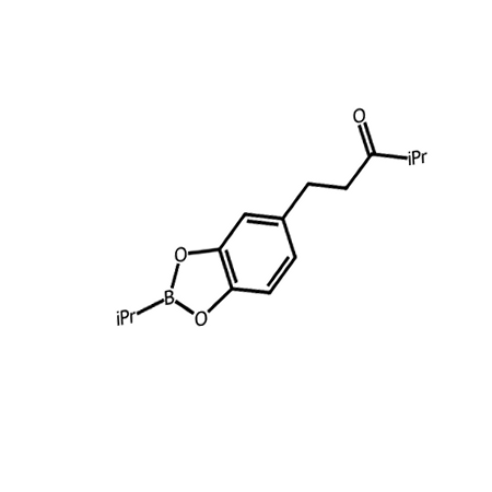 CC(C)B1Oc2ccc(CCC(=O)C(C)C)cc2O1